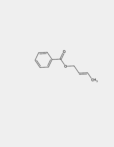 CC=CCOC(=O)c1ccccc1